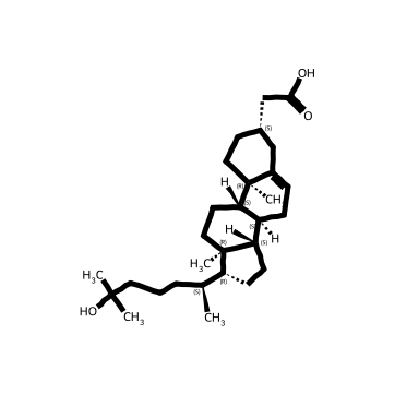 C[C@@H](CCCC(C)(C)O)[C@H]1CC[C@H]2[C@@H]3CC=C4C[C@@H](CC(=O)O)CC[C@]4(C)[C@H]3CC[C@]12C